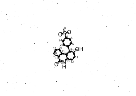 CS(=O)(=O)c1ccc(-c2c(O)ccc3[nH]c(=O)c4sccc4c23)cc1